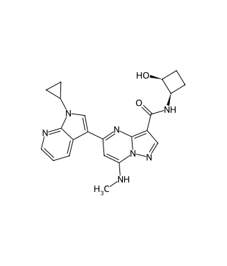 CNc1cc(-c2cn(C3CC3)c3ncccc23)nc2c(C(=O)N[C@@H]3CC[C@@H]3O)cnn12